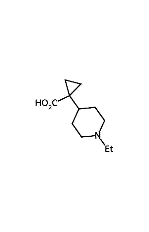 CCN1CCC(C2(C(=O)O)CC2)CC1